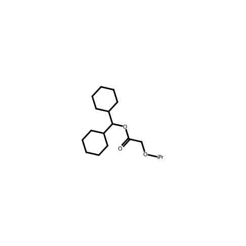 CC(C)OCC(=O)OC(C1CCCCC1)C1CCCCC1